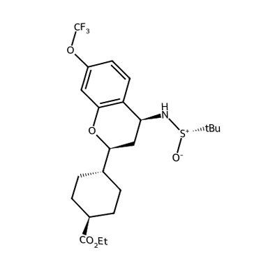 CCOC(=O)[C@H]1CC[C@H]([C@@H]2C[C@H](N[S@@+]([O-])C(C)(C)C)c3ccc(OC(F)(F)F)cc3O2)CC1